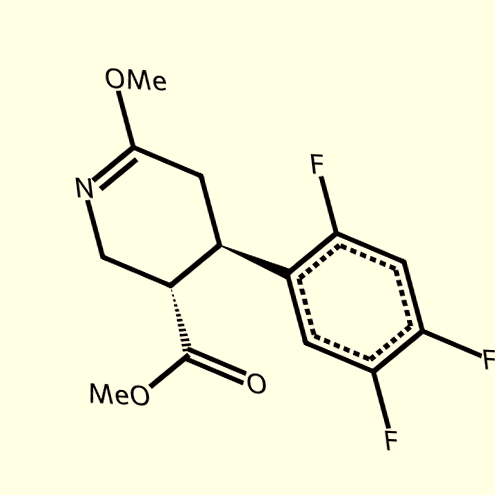 COC(=O)[C@@H]1CN=C(OC)C[C@H]1c1cc(F)c(F)cc1F